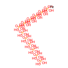 O=P(O)(O)O.O=P(O)(O)O.O=P(O)(O)O.O=P(O)(O)O.O=P(O)(O)O.O=P(O)(O)O.O=P(O)(O)O.O=P(O)(O)O.O=P(O)(O)O.O=P(O)(O)O.O=P(O)(O)O.O=P(O)(O)O.[Fe]